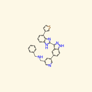 c1ccc(CNCc2cncc(-c3ccc4[nH]nc(-c5nc6c(-c7ccsc7)cccc6[nH]5)c4c3)c2)cc1